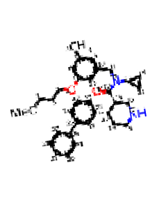 COCCCOc1cc(C)cc(CN(C(=O)[C@H]2CNCC[C@@H]2c2cccc(-c3ccccc3)c2)C2CC2)c1